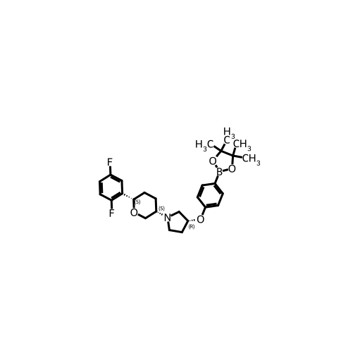 CC1(C)OB(c2ccc(O[C@@H]3CCN([C@H]4CC[C@@H](c5cc(F)ccc5F)OC4)C3)cc2)OC1(C)C